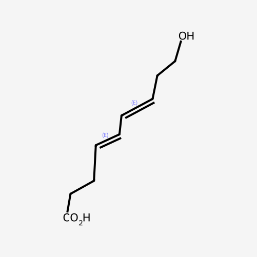 O=C(O)CC/C=C/C=C/CCO